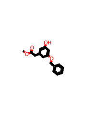 COC(=O)CC1C=C(O)C=C(OCc2ccccc2)C1